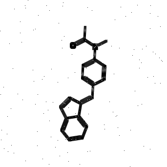 CC(=O)N(C)c1ccc(/C=C2\C=Cc3ccccc32)cc1